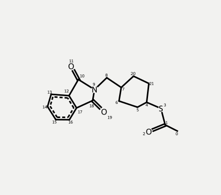 CC(=O)SC1CCC(CN2C(=O)c3ccccc3C2=O)CC1